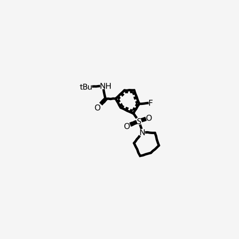 CC(C)(C)NC(=O)c1ccc(F)c(S(=O)(=O)N2CCCCC2)c1